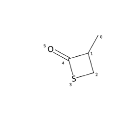 CC1CSC1=O